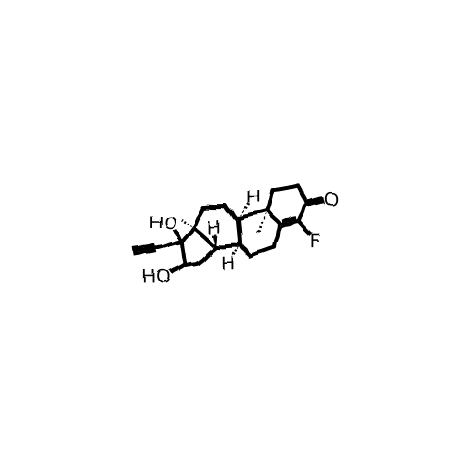 C#CC1(O)C(O)C[C@H]2[C@@H]3CCC4=C(F)C(=O)CC[C@]4(C)[C@@H]3CC[C@@]21C